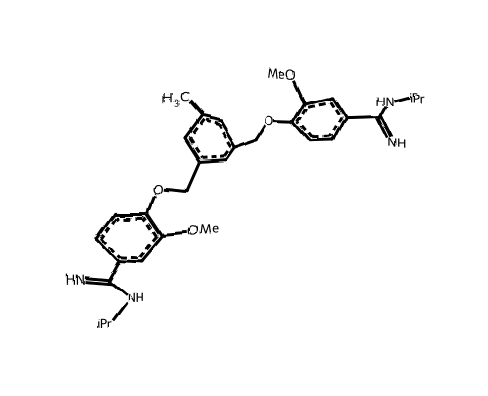 COc1cc(C(=N)NC(C)C)ccc1OCc1cc(C)cc(COc2ccc(C(=N)NC(C)C)cc2OC)c1